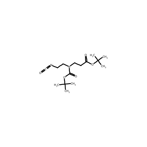 CC(C)(C)OC(=O)CCN(CCN=C=O)C(=O)OC(C)(C)C